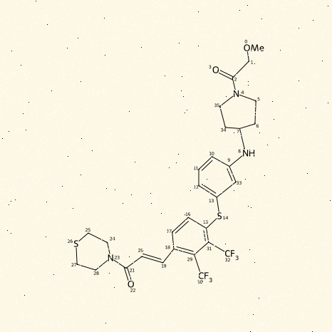 COCC(=O)N1CCC(Nc2cccc(Sc3ccc(C=CC(=O)N4CCSCC4)c(C(F)(F)F)c3C(F)(F)F)c2)CC1